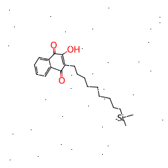 C[Si](C)(C)CCCCCCCCCC1=C(O)C(=O)c2ccccc2C1=O